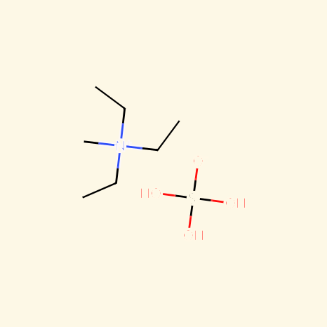 CC[N+](C)(CC)CC.[O-][Si](O)(O)O